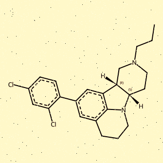 CCCN1CC[C@H]2[C@@H](C1)c1cc(-c3ccc(Cl)cc3Cl)cc3c1N2CCC3